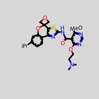 COc1ncnc(OCCN(C)C)c1C(=O)Nc1nc2c(s1)C1(COC1)Oc1cc(C(C)C)ccc1-2